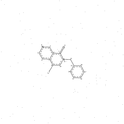 O=c1c2cnccc2c(I)cn1Cc1ccccc1